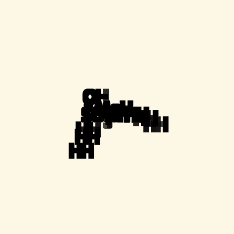 O=S(=O)(O)O.[HH].[HH].[HH].[HH].[HH].[HH].[HH].[MgH2]